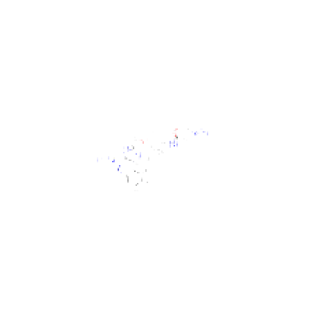 CCOCc1nc2c(N)nc3ccccc3c2n1CCCCNC(=O)CCN